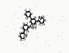 c1ccc(-c2cc(Nc3cccc(-c4ccccn4)c3)cc(-c3ccccn3)c2)cc1